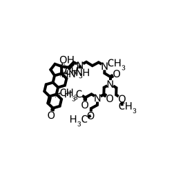 COCCN(CC(C)=O)C(=O)CN(CCOC)C(=O)CN(C)CCCN1C=C([C@]2(O)CCC3C4CCC5=CC(=O)CC[C@]5(C)C4CC[C@@]32C)NN1